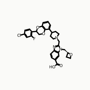 O=C(O)c1ccc2nc(CN3CCC(c4cccc5c4OCC(c4ccc(Cl)cc4F)O5)CC3)n(C[C@@H]3CCO3)c2c1